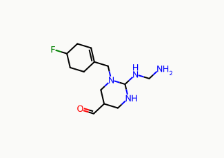 NCNC1NCC(C=O)CN1CC1=CCC(F)CC1